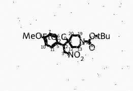 CCOC(=O)C1(C(C[N+](=O)[O-])c2ccc(OC)cc2)CCN(C(=O)OC(C)(C)C)CC1